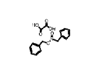 O=C(O)C(=O)O.O=[N+](Cc1ccccc1)OCc1ccccc1